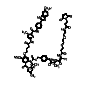 C=C1C[C@H]2[C@H](O)N(C(=O)OCc3ccc(NC(=O)[C@H](C)NC(=O)[C@@H](NC(=O)CCOCCOCCNC(=O)CCN4C(=O)C=CC4=O)C(C)C)cc3)c3cc(OCCCC(=O)Nc4cn(C)c(C(=O)Nc5ccc(-c6nc7ccc(C(=O)O)cc7[nH]6)cc5)n4)c(OC)cc3C(=O)N2C1